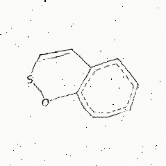 C1=Cc2ccccc2OS1